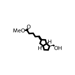 COC(=O)CCC/C=C1\C[C@@H]2CC[C@H](CO)[C@H]2C1